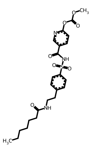 CCCCCCC(=O)NCCc1ccc(S(=O)(=O)NC(=O)c2ccc(OC(=O)OC)nc2)cc1